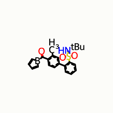 Cc1cc(-c2ccccc2S(=O)(=O)NC(C)(C)C)ccc1C(=O)B1C=CC=C1